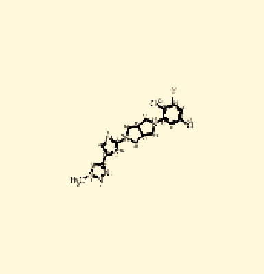 Cn1nnc(-c2cnc(N3CC4CN(c5cc(Cl)cc(F)c5Cl)CC4C3)s2)n1